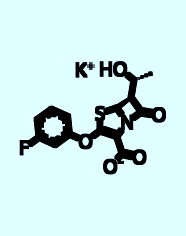 C[C@@H](O)[C@H]1C(=O)N2C(C(=O)[O-])=C(Oc3cccc(F)c3)SC12.[K+]